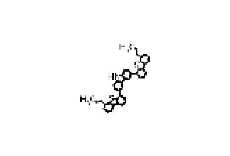 CCCC1=CC=CC2c3cccc(-c4ccc5[nH]c6ccc(-c7cccc8c7sc7c(CCC)cccc78)cc6c5c4)c3SC12